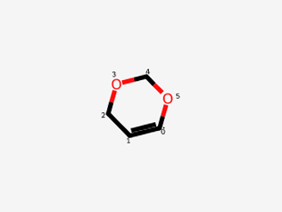 [C]1=CCOCO1